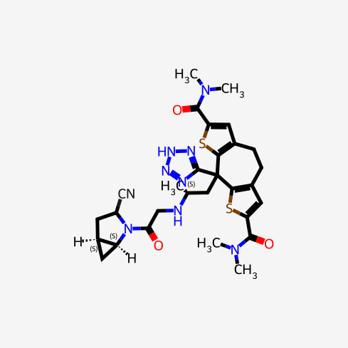 C[C@@H](CC1(c2nn[nH]n2)c2sc(C(=O)N(C)C)cc2CCc2cc(C(=O)N(C)C)sc21)NCC(=O)N1C(C#N)C[C@@H]2C[C@@H]21